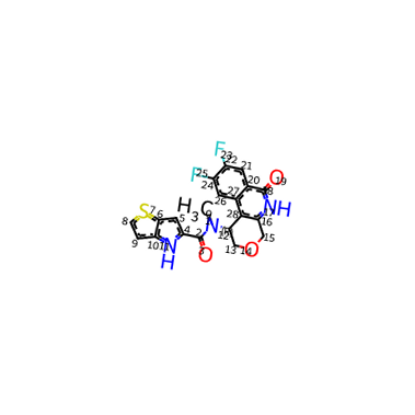 CN(C(=O)c1cc2sccc2[nH]1)[C@H]1COCc2[nH]c(=O)c3cc(F)c(F)cc3c21